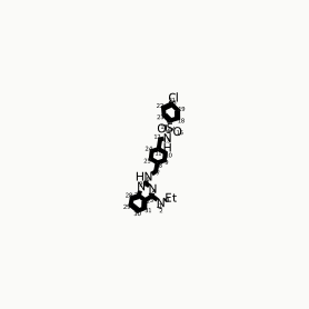 CCN(C)c1nc(NCC2CCC(CNS(=O)(=O)c3ccc(Cl)cc3)CC2)nc2ccccc12